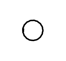 C1=C\CCCCCCCCCCCCCCC/1